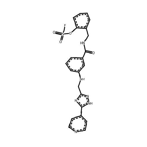 O=C(NCc1ccccc1OS(=O)(=O)F)c1cccc(NCc2n[nH]c(-c3ccncc3)n2)c1